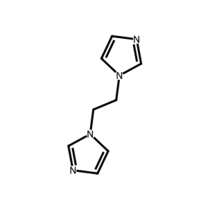 c1cn(CCn2ccnc2)cn1